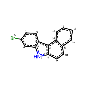 Brc1ccc2c(c1)[nH]c1ccc3ccccc3c12